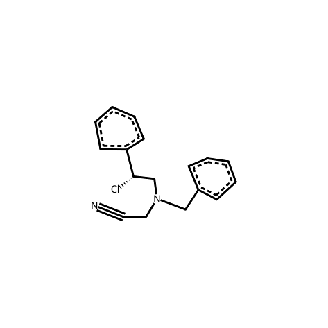 N#CCN(Cc1ccccc1)C[C@H](Cl)c1ccccc1